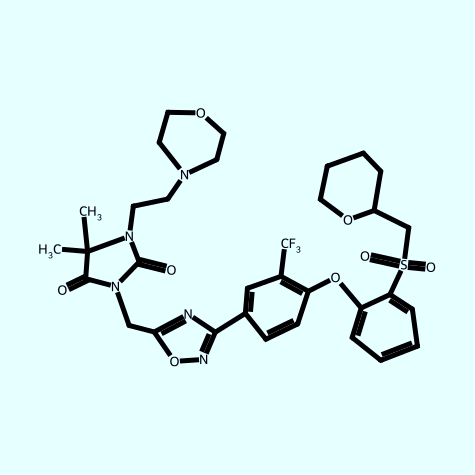 CC1(C)C(=O)N(Cc2nc(-c3ccc(Oc4ccccc4S(=O)(=O)CC4CCCCO4)c(C(F)(F)F)c3)no2)C(=O)N1CCN1CCOCC1